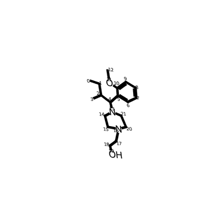 CCC(C)C(c1ccccc1OC)N1CCN(CCO)CC1